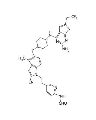 Cc1c(CN2CCC(Nc3nc(N)nc4sc(CC(F)(F)F)cc34)CC2)ccc2c1cc(C#N)n2CCc1ccc(NC=O)nc1